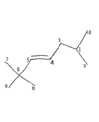 [CH2]C(C)C/C=C/C(C)(C)C